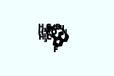 CC(O[Si](C)(C)C(C)(C)C)c1cc(F)cc2ccncc12